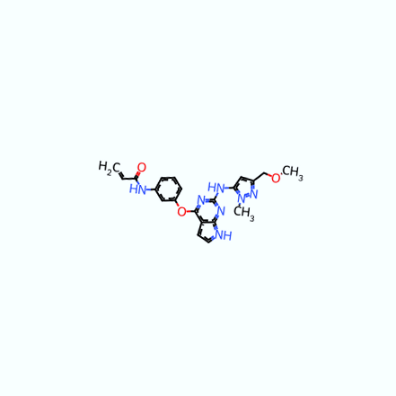 C=CC(=O)Nc1cccc(Oc2nc(Nc3cc(COC)nn3C)nc3[nH]ccc23)c1